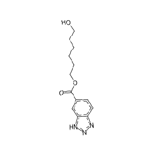 O=C(OCCCCCCO)c1ccc2nn[nH]c2c1